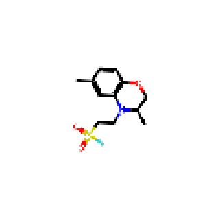 Cc1ccc2c(c1)N(CCS(=O)(=O)F)C(C)CO2